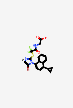 O=C([O-])CNC(=O)C(F)(F)Sc1ncc(Br)n1-c1ccc(C2CC2)c2ccccc12.[Li+]